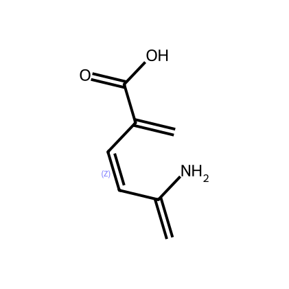 C=C(N)/C=C\C(=C)C(=O)O